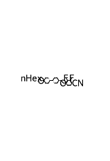 CCCCCCO[C@H]1CC[C@H]([C@H]2CC[C@H](COc3ccc(C#N)c(F)c3F)CC2)CC1